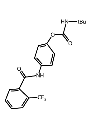 CC(C)(C)NC(=O)Oc1ccc(NC(=O)c2ccccc2C(F)(F)F)cc1